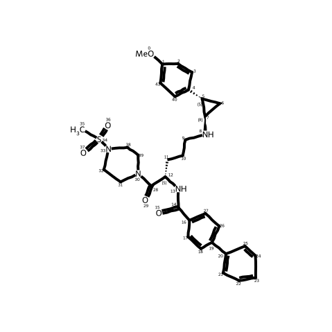 COc1ccc([C@@H]2C[C@H]2NCCC[C@H](NC(=O)c2ccc(-c3ccccc3)cc2)C(=O)N2CCN(S(C)(=O)=O)CC2)cc1